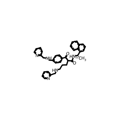 C[C@H](NC(=O)C(CCCNCc1ccccn1)C(=O)c1ccc(CNCc2ccccn2)cc1)c1cccc2ccccc12